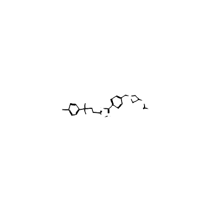 CC(C)(CCc1nc(-c2ccc(CN3CC(OC(=O)O)C3)cc2)no1)c1ccc(Cl)cc1